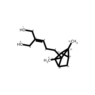 CC1(CCC=C(CO)CO)C2CC3C(C2)C31C